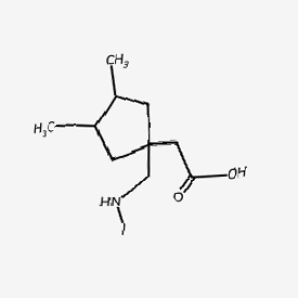 CC1CC(CNI)(CC(=O)O)CC1C